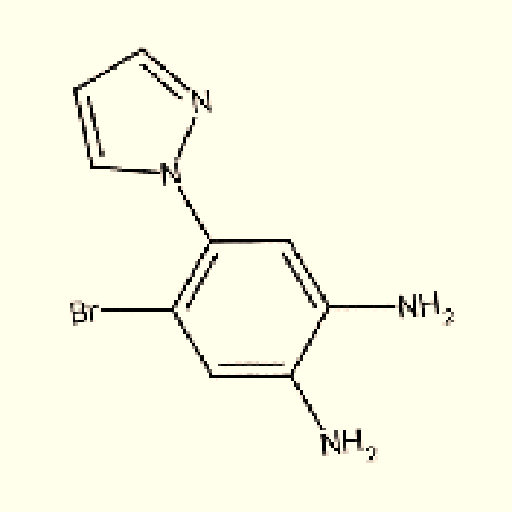 Nc1cc(Br)c(-n2cccn2)cc1N